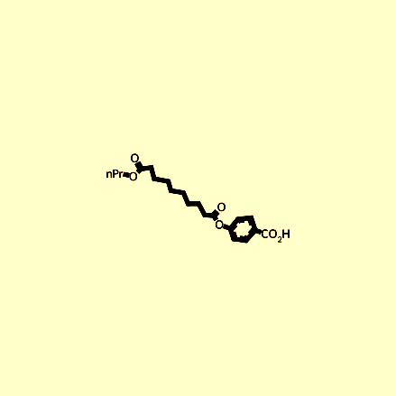 CCCOC(=O)CCCCCCCCC(=O)Oc1ccc(C(=O)O)cc1